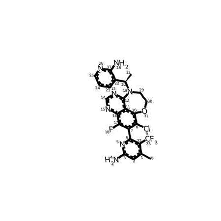 Cc1cc(N)nc(-c2c(Cl)c3c4c(ncnc4c2F)N([C@H](C)c2cccnc2N)CCO3)c1C(F)(F)F